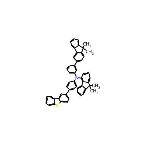 CC1(C)c2ccccc2-c2cc(-c3cccc(N(c4ccc(-c5ccc6sc7ccccc7c6c5)cc4)c4cccc5c4-c4ccccc4C5(C)C)c3)ccc21